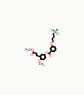 COC(=O)/C=C/c1cc(OC(=O)c2cccc(OCCCC[Si](Cl)(Cl)Cl)c2)ccc1OC